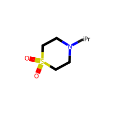 CC(C)N1CCS(=O)(=O)CC1